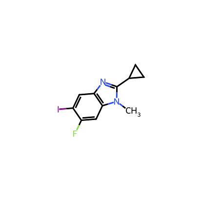 Cn1c(C2CC2)nc2cc(I)c(F)cc21